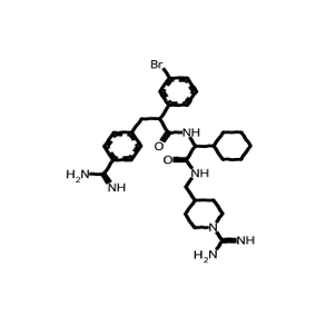 N=C(N)c1ccc(CC(C(=O)NC(C(=O)NCC2CCN(C(=N)N)CC2)C2CCCCC2)c2cccc(Br)c2)cc1